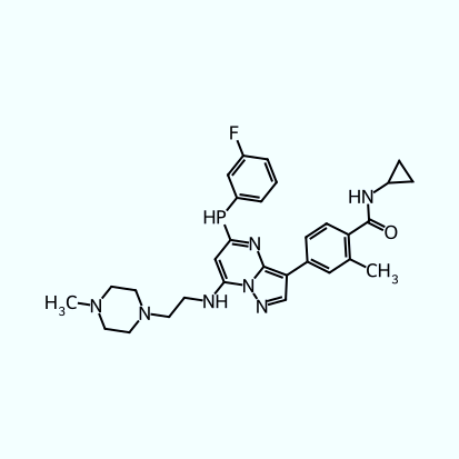 Cc1cc(-c2cnn3c(NCCN4CCN(C)CC4)cc(Pc4cccc(F)c4)nc23)ccc1C(=O)NC1CC1